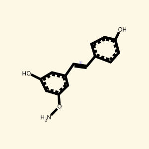 NOc1cc(O)cc(/C=C/c2ccc(O)cc2)c1